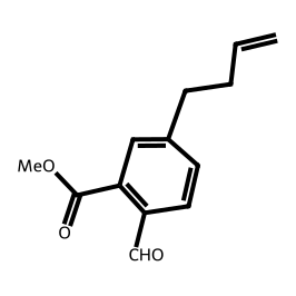 C=CCCc1ccc(C=O)c(C(=O)OC)c1